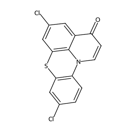 O=c1ccn2c3c(cc(Cl)cc13)Sc1cc(Cl)ccc1-2